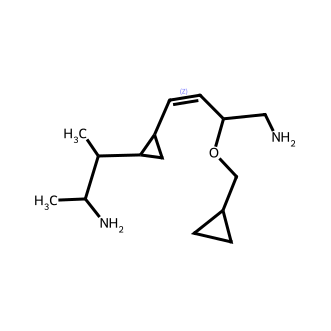 CC(N)C(C)C1CC1/C=C\C(CN)OCC1CC1